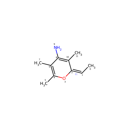 C/C=C1/OC(C)=C(C)C(N)=C1C